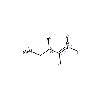 CC/[PH](C)=C(/C)[C@H](C)CNC